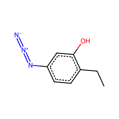 CCc1ccc(N=[N+]=[N-])cc1O